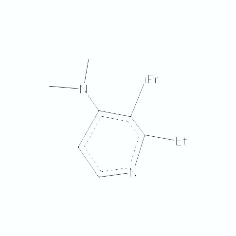 CCc1nccc(N(C)C)c1C(C)C